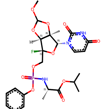 COC1O[C@H]2[C@@](C)(O1)[C@H](n1ccc(=O)[nH]c1=O)O[C@]2(F)COP(=O)(N[C@@H](C)C(=O)OC(C)C)Oc1ccccc1